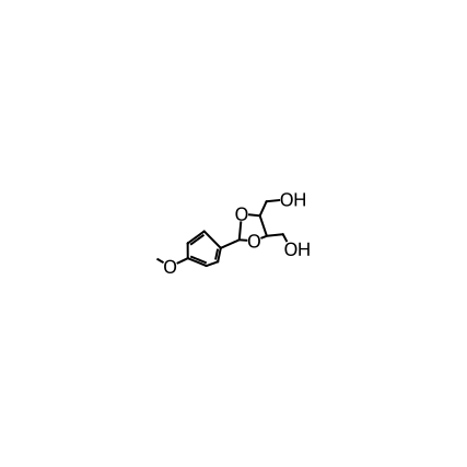 COc1ccc(C2OC(CO)C(CO)O2)cc1